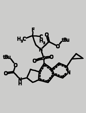 CC(C)(F)CN(C(=O)OC(C)(C)C)S(=O)(=O)c1c2c(cc3cnc(C4CC4)cc13)CC(NC(=O)OC(C)(C)C)C2